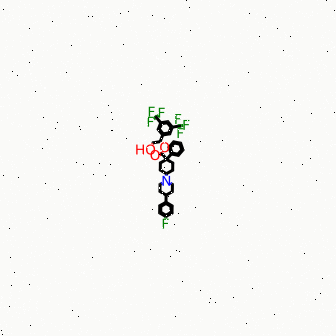 O=C(OC(CO)c1cc(C(F)(F)F)cc(C(F)(F)F)c1)C1(c2ccccc2)CCC(N2CCC(c3ccc(F)cc3)CC2)CC1